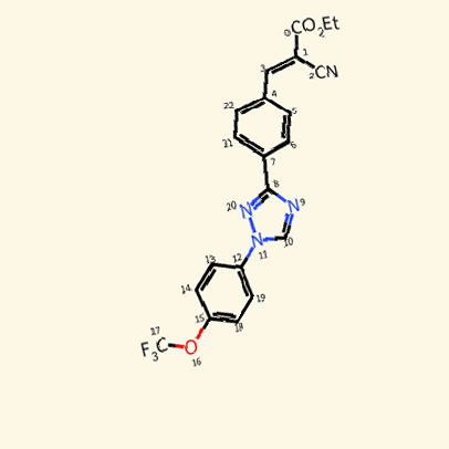 CCOC(=O)/C(C#N)=C/c1ccc(-c2ncn(-c3ccc(OC(F)(F)F)cc3)n2)cc1